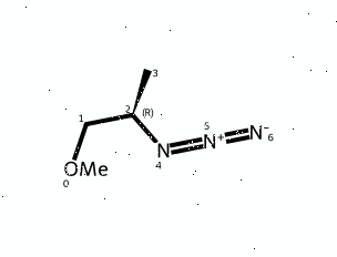 COC[C@@H](C)N=[N+]=[N-]